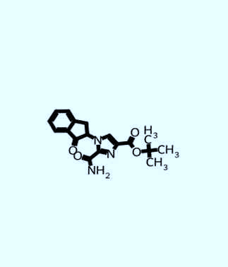 CC(C)(C)OC(=O)c1cn(C2Cc3ccccc3C2=O)c(C(N)=O)n1